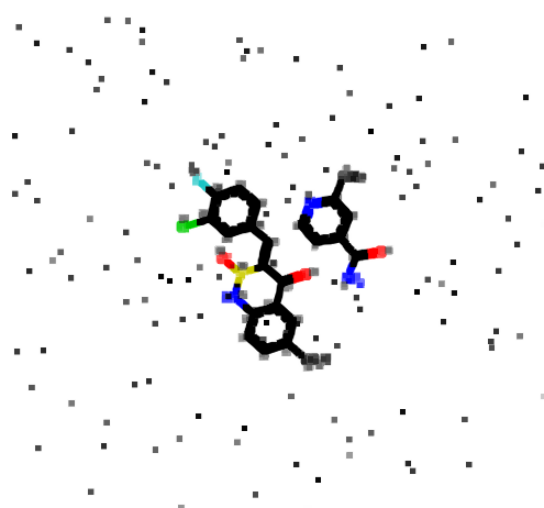 COc1cc(C(N)=O)ccn1.O=C(O)c1ccc2c(c1)C(=O)/C(=C/c1ccc(F)c(Cl)c1)[S+]([O-])N2